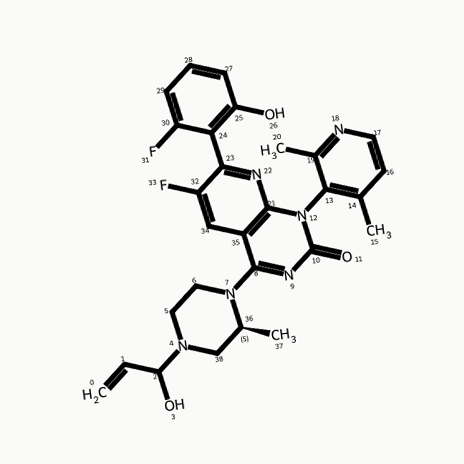 C=CC(O)N1CCN(c2nc(=O)n(-c3c(C)ccnc3C)c3nc(-c4c(O)cccc4F)c(F)cc23)[C@@H](C)C1